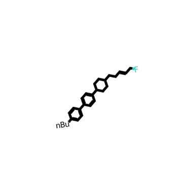 CCCCc1ccc(-c2ccc(C3CCC(CCC=CCF)CC3)cc2)cc1